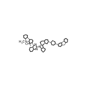 CC1(C)c2ccccc2-c2ccc(-c3nc(-n4c5ccccc5c5c6cc(-c7ccc(-c8ccc9c(c8)-c8ccccc8C9)cc7)ccc6ccc54)nc4ccccc34)cc21